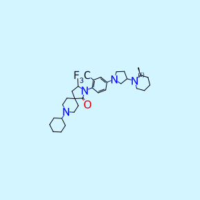 CC1CC2(CCN(C3CCCCC3)CC2)C(=O)N1c1ccc(N2CCC(N3CCCC[C@@H]3C)C2)cc1C(F)(F)F